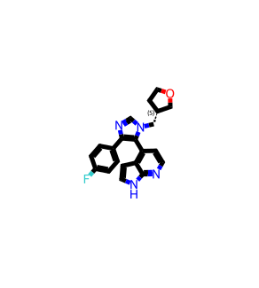 Fc1ccc(-c2ncn(C[C@@H]3CCOC3)c2-c2ccnc3[nH]ccc23)cc1